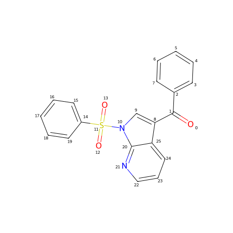 O=C(c1ccccc1)c1cn(S(=O)(=O)c2ccccc2)c2ncccc12